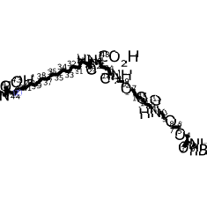 CCCCNC(=O)COCCOCCNC(=O)COCCOCCNC(=O)CC[C@H](NC(=O)CCCCCCCCCCCC/C(O)=C/C(N)=O)C(=O)O